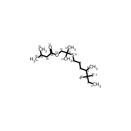 CCC(F)(F)C(C)CCCSC(C)(C)COC(=O)CC(C)C